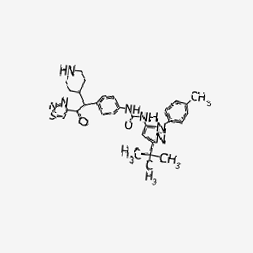 Cc1ccc(-n2nc(C(C)(C)C)cc2NC(=O)Nc2ccc(C(C(=O)c3csnn3)C3CCNCC3)cc2)cc1